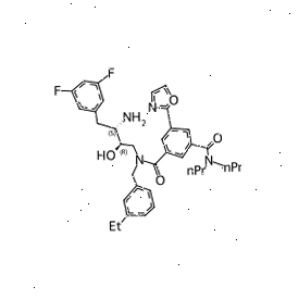 CCCN(CCC)C(=O)c1cc(C(=O)N(Cc2cccc(CC)c2)C[C@@H](O)[C@@H](N)Cc2cc(F)cc(F)c2)cc(-c2ncco2)c1